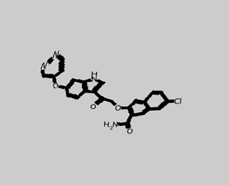 NC(=O)c1cc2cc(Cl)ccc2cc1OCC(=O)c1c[nH]c2cc(Oc3ccnnc3)ccc12